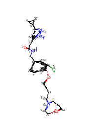 O=C(NCc1ccc(OCCCN2CCOCC2)c(Cl)c1)c1cc(C2CC2)n[nH]1